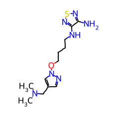 CN(C)Cc1cnn(OCCCCNc2nsnc2N)c1